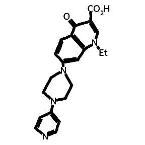 CCn1cc(C(=O)O)c(=O)c2ccc(N3CCN(c4ccncc4)CC3)cc21